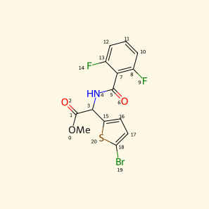 COC(=O)C(NC(=O)c1c(F)cccc1F)c1ccc(Br)s1